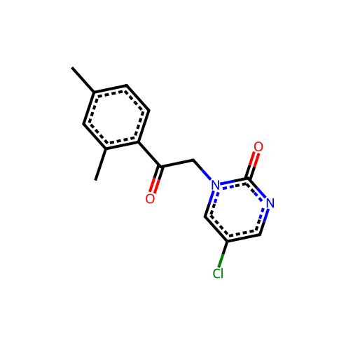 Cc1ccc(C(=O)Cn2cc(Cl)cnc2=O)c(C)c1